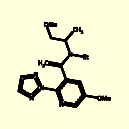 C=C(c1cc(OC)cnc1-n1nccn1)N(CC)C(C)COC